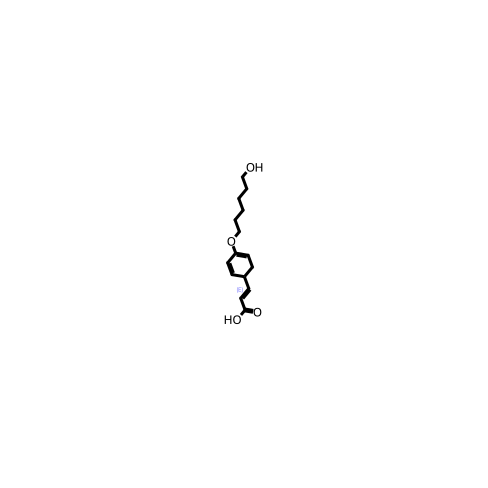 O=C(O)/C=C/C1C=CC(OCCCCCCO)=CC1